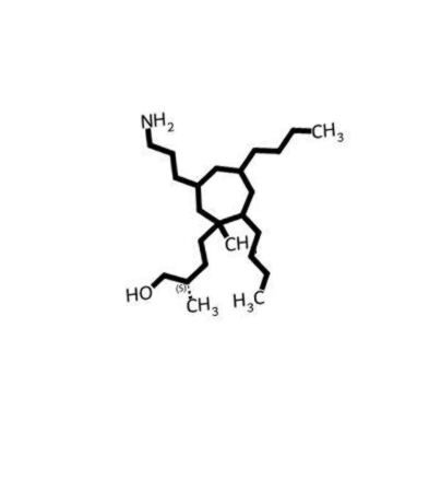 CCCCC1CC(CCCN)CC(C)(CC[C@H](C)CO)C(CCCC)C1